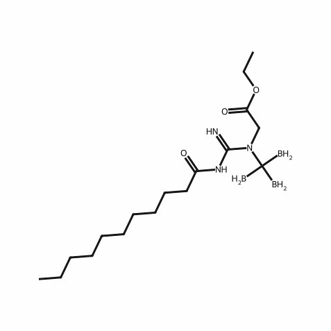 BC(B)(B)N(CC(=O)OCC)C(=N)NC(=O)CCCCCCCCCC